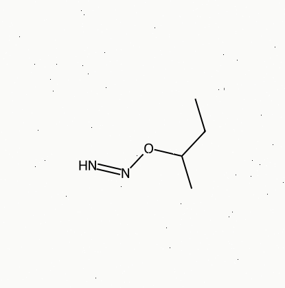 CCC(C)ON=N